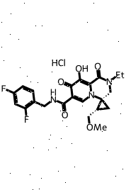 CCN1C[C@@]2(C[C@@H]2COC)n2cc(C(=O)NCc3ccc(F)cc3F)c(=O)c(O)c2C1=O.Cl